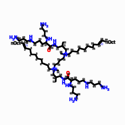 CCCCCCCC/C=C/CCCCCCCC[N+](C)(CCCC[N+](C)(CCCCCCCC/C=C/CCCCCCCC)CC(C)CNC(=O)C(CCCNCCCN)NCCCN)CC(C)CNC(=O)C(CCCNCCCN)NCCCN